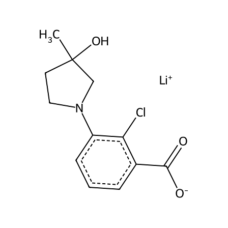 CC1(O)CCN(c2cccc(C(=O)[O-])c2Cl)C1.[Li+]